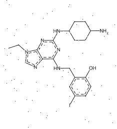 CCn1cnc2c(NCc3cc(I)ccc3O)nc(NC3CCC(N)CC3)nc21